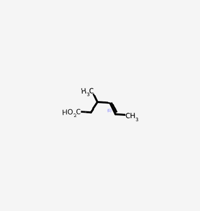 C/C=C/C(C)CC(=O)O